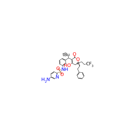 CC(C)(C)C(C1=C(O)C[C@@](CCc2ccccc2)(CCC(F)(F)F)OC1=O)c1cccc(NS(=O)(=O)c2ccc(N)cn2)c1